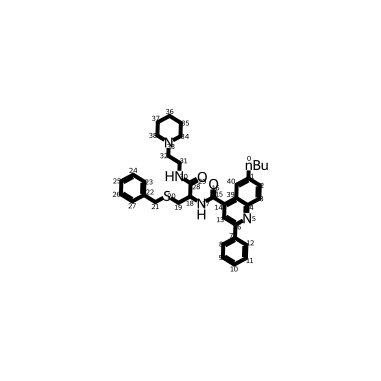 CCCCc1ccc2nc(-c3ccccc3)cc(C(=O)NC(CSCc3ccccc3)C(=O)NCCN3CCCCC3)c2c1